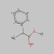 CCOC(O)C(C#N)c1ccccc1